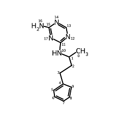 CC(CCc1ccccc1)Nc1ncnc(N)n1